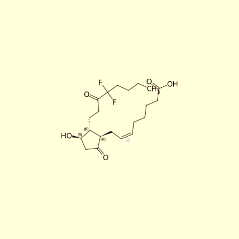 CCCCC(F)(F)C(=O)CC[C@H]1[C@H](O)CC(=O)[C@@H]1C/C=C\CCCCC(=O)O